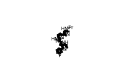 CC(C)Nc1cncc(-c2ccc3[nH]nc(-c4cc5c(-c6cccc(F)c6)nccc5[nH]4)c3n2)c1